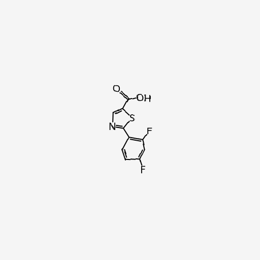 O=C(O)c1cnc(-c2ccc(F)cc2F)s1